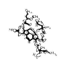 CCCC(OC)OC(=O)OC1=C(OC(=O)O)c2ccc3c4c(ccc1c24)C(OC(=O)OOC(C)(C)CCC)=C3OC(=O)OC(C)(C)CCC